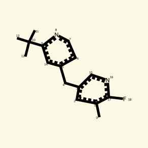 Cc1cc(Cc2ccnc(C(C)(C)C)c2)cnc1F